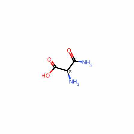 NC(=O)[C@@H](N)C(=O)O